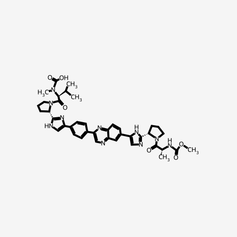 COC(=O)N[C@H](C)C(=O)N1CCC[C@H]1c1ncc(-c2ccc3nc(-c4ccc(-c5c[nH]c([C@@H]6CCCN6C(=O)[C@H](C(C)C)N(C)C(=O)O)n5)cc4)cnc3c2)[nH]1